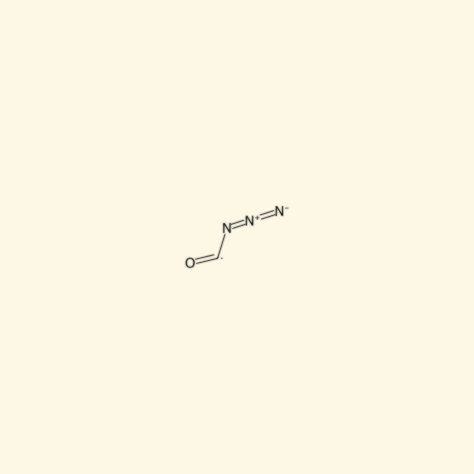 [N-]=[N+]=N[C]=O